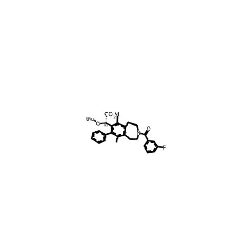 Cc1c2c(c(C)c([C@H](OC(C)(C)C)C(=O)O)c1-c1ccccc1)CCN(C(=O)c1cccc(F)c1)CC2